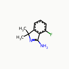 CC1(C)N=C(N)c2c(F)cccc21